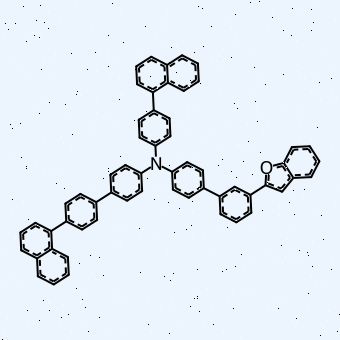 c1cc(-c2ccc(N(c3ccc(-c4ccc(-c5cccc6ccccc56)cc4)cc3)c3ccc(-c4cccc5ccccc45)cc3)cc2)cc(-c2cc3ccccc3o2)c1